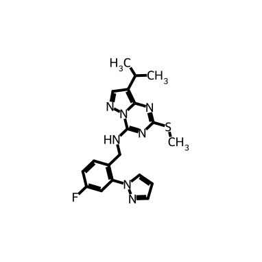 CSc1nc(NCc2ccc(F)cc2-n2cccn2)n2ncc(C(C)C)c2n1